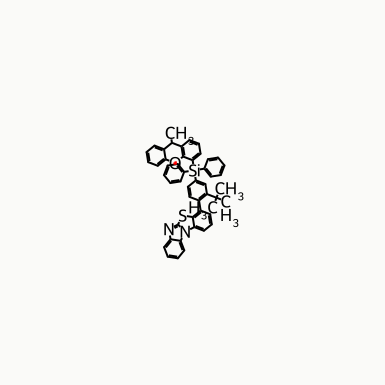 CC1c2ccccc2Oc2c1cccc2[Si](c1ccccc1)(c1ccccc1)c1ccc(-c2cccc3c2sc2nc4ccccc4n23)c(C(C)(C)C)c1